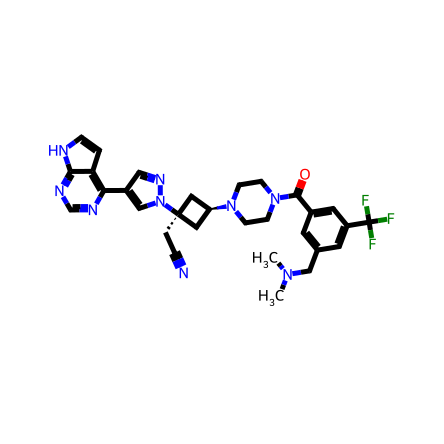 CN(C)Cc1cc(C(=O)N2CCN([C@H]3C[C@@](CC#N)(n4cc(-c5ncnc6[nH]ccc56)cn4)C3)CC2)cc(C(F)(F)F)c1